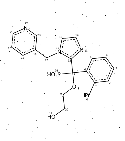 CC(C)c1ccccc1C(OCCO)(c1nccn1Cc1cccnc1)S(=O)(=O)O